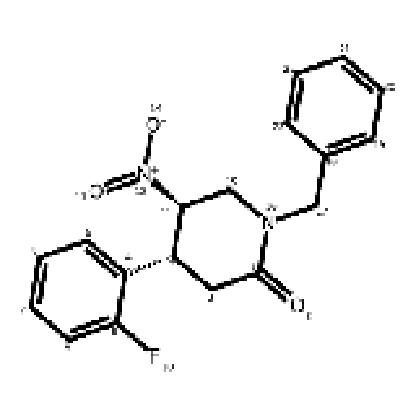 O=C1C[C@H](c2ccccc2F)[C@@H]([N+](=O)[O-])CN1Cc1ccccc1